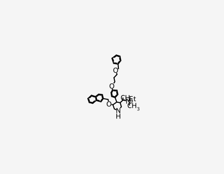 CCN(C)C(C)C1CNCC(OCc2ccc3ccccc3c2)C1c1ccc(OCCCOCc2ccccc2)cc1